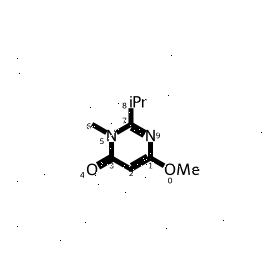 COc1cc(=O)n(C)c(C(C)C)n1